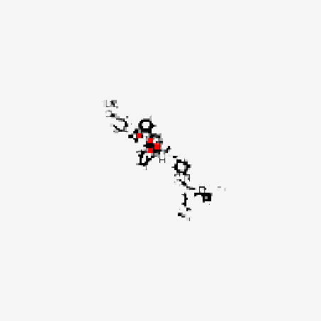 CCOC(=O)C1(C(=O)N[C@@H](CCCCN(C)C)C(=O)Nc2ccc(COC(=O)Nc3nnc(-c4ccccc4O)cc3N3CC4CC[C@H](C3)N4c3ccnc(OC4CC(OC5CCN(C(=O)OC(C)(C)C)CC5)C4)c3)cc2)CCC1